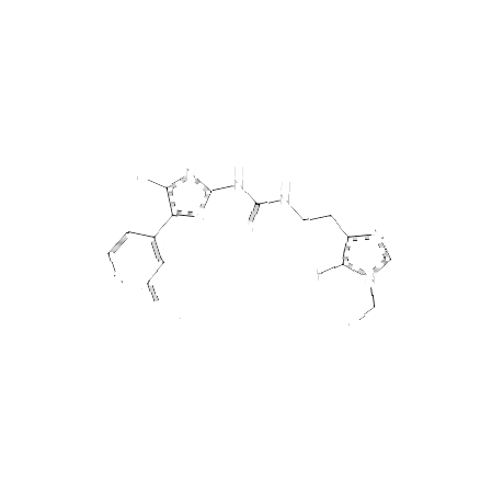 C=C/C=C(\C=C/N)c1sc(NC(=O)NCCc2ncn(CC)c2Cl)nc1C